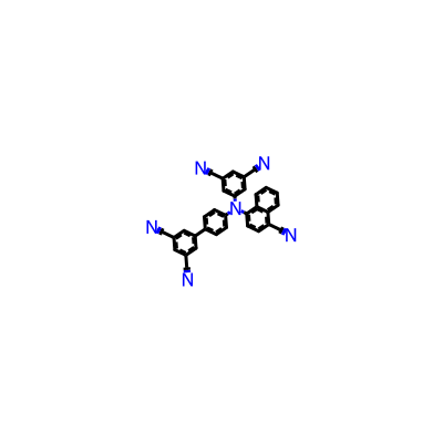 N#Cc1cc(C#N)cc(-c2ccc(N(c3cc(C#N)cc(C#N)c3)c3ccc(C#N)c4ccccc34)cc2)c1